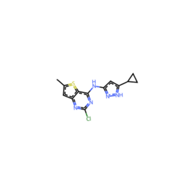 Cc1cc2nc(Cl)nc(Nc3cc(C4CC4)[nH]n3)c2s1